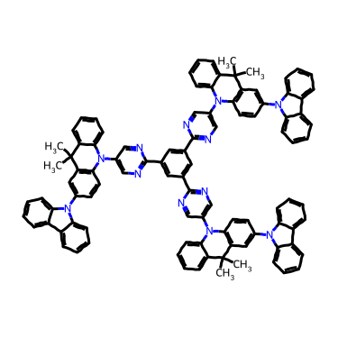 CC1(C)c2ccccc2N(c2cnc(-c3cc(-c4ncc(N5c6ccccc6C(C)(C)c6cc(-n7c8ccccc8c8ccccc87)ccc65)cn4)cc(-c4ncc(N5c6ccccc6C(C)(C)c6cc(-n7c8ccccc8c8ccccc87)ccc65)cn4)c3)nc2)c2ccc(-n3c4ccccc4c4ccccc43)cc21